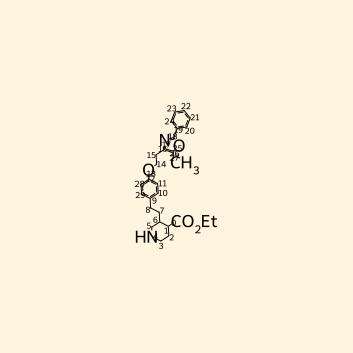 CCOC(=O)C1CCNCC1CCc1ccc(OCCc2nc(-c3ccccc3)oc2C)cc1